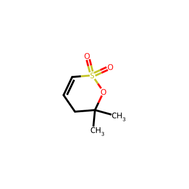 CC1(C)CC=CS(=O)(=O)O1